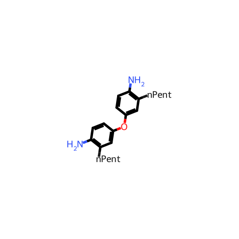 CCCCCc1cc(Oc2ccc(N)c(CCCCC)c2)ccc1N